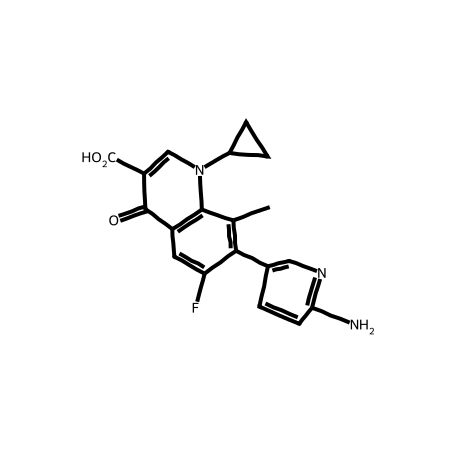 Cc1c(-c2ccc(N)nc2)c(F)cc2c(=O)c(C(=O)O)cn(C3CC3)c12